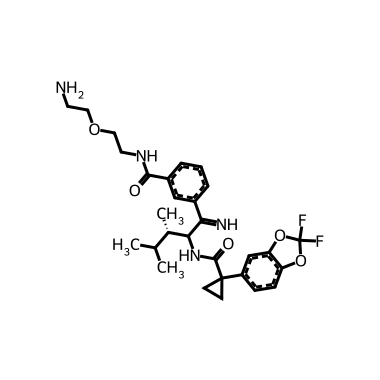 CC(C)[C@H](C)C(NC(=O)C1(c2ccc3c(c2)OC(F)(F)O3)CC1)C(=N)c1cccc(C(=O)NCCOCCN)c1